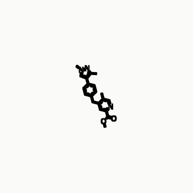 COC(=O)c1cc(Cc2ccc(-c3cn(C)nc3C)cc2)c(C)cn1